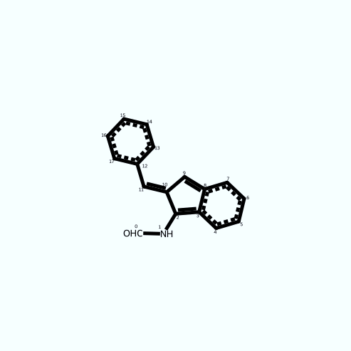 O=CNC1=c2ccccc2=CC1=Cc1ccccc1